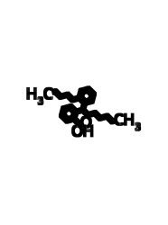 CCCCCCC(c1ccccc1CCCCC)c1ccccc1C(=O)O